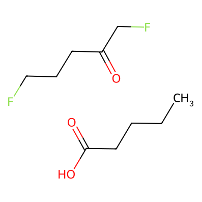 CCCCC(=O)O.O=C(CF)CCCF